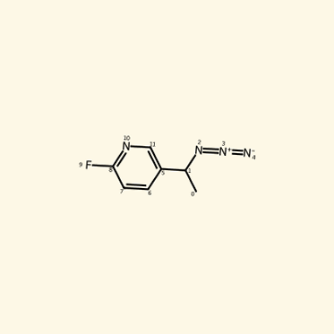 CC(N=[N+]=[N-])c1ccc(F)nc1